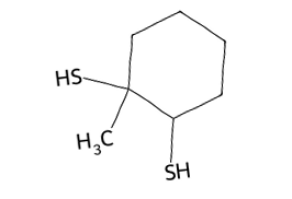 CC1(S)CCCCC1S